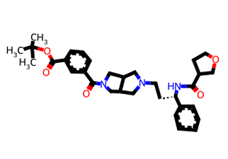 CC(C)(C)OC(=O)c1cccc(C(=O)N2CC3CN(CC[C@H](NC(=O)C4CCOC4)c4ccccc4)CC3C2)c1